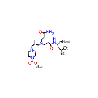 CCCCCCC(CC(CC)CC)NC(=O)CCN(CCC(N)=O)CC(C)CN1CCN(C(=O)OC(C)(C)C)CC1